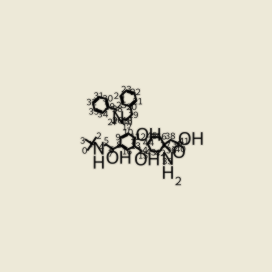 CC(C)(C)NCC(O)c1ccc(O)c(CO)c1.C[C@@H](Cc1ccccc1)N(C)Cc1ccccc1.NCC1(CC(=O)O)CCCCC1